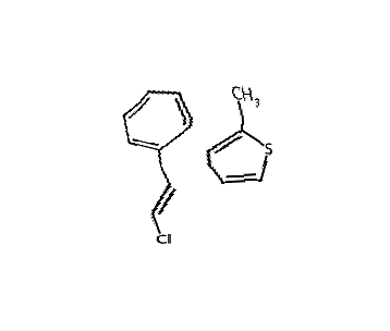 Cc1cccs1.ClC=Cc1ccccc1